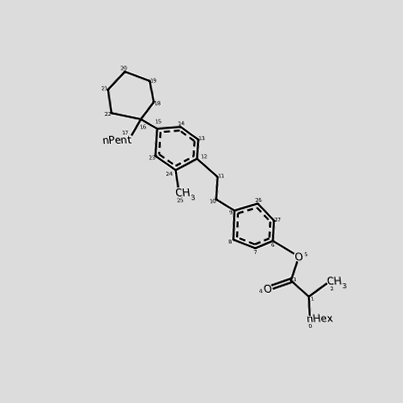 CCCCCCC(C)C(=O)Oc1ccc(CCc2ccc(C3(CCCCC)CCCCC3)cc2C)cc1